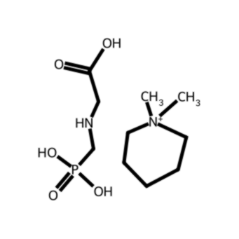 C[N+]1(C)CCCCC1.O=C(O)CNCP(=O)(O)O